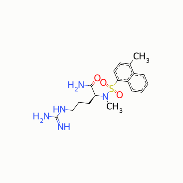 Cc1ccc(S(=O)(=O)N(C)[C@@H](CCCNC(=N)N)C(N)=O)c2ccccc12